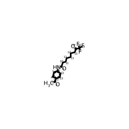 CC(=O)c1ccc(NC(=O)CCCCCCC(=O)C(F)(F)F)cc1